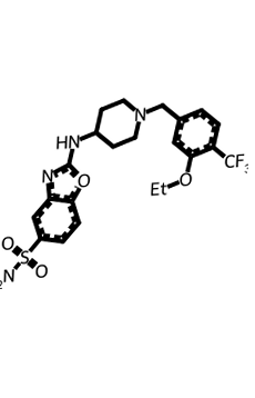 CCOc1cc(CN2CCC(Nc3nc4cc(S(N)(=O)=O)ccc4o3)CC2)ccc1C(F)(F)F